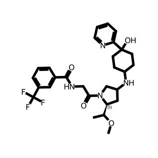 COC(C)[C@@H]1CC(NC2CCC(O)(c3ccccn3)CC2)CN1C(=O)CNC(=O)c1cccc(C(F)(F)F)c1